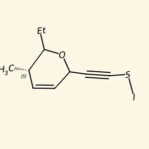 CCC1OC(C#CSI)C=C[C@@H]1C